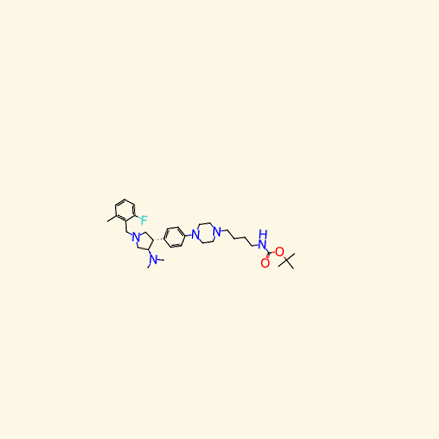 Cc1cccc(F)c1CN1C[C@H](c2ccc(N3CCN(CCCCNC(=O)OC(C)(C)C)CC3)cc2)[C@@H](N(C)C)C1